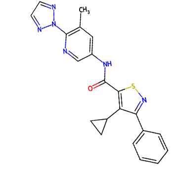 Cc1cc(NC(=O)c2snc(-c3ccccc3)c2C2CC2)cnc1-n1nccn1